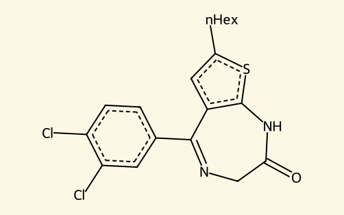 CCCCCCc1cc2c(s1)NC(=O)CN=C2c1ccc(Cl)c(Cl)c1